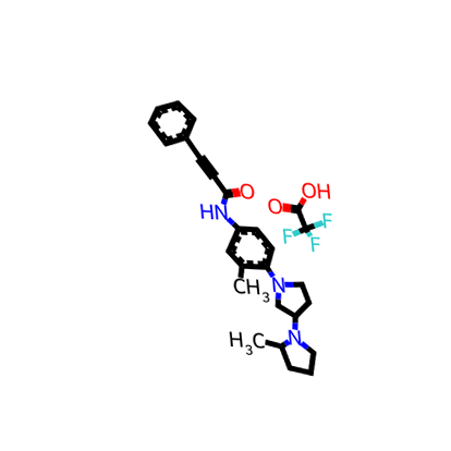 Cc1cc(NC(=O)C#Cc2ccccc2)ccc1N1CCC(N2CCCC2C)C1.O=C(O)C(F)(F)F